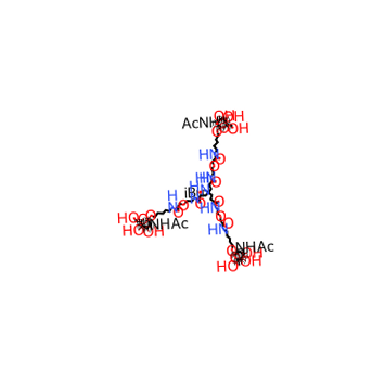 CCC(C)NC(CCC(=O)NCCOCC(=O)NCCCCCO[C@@H]1O[C@H](CO)[C@H](O)[C@H](O)[C@H]1NC(C)=O)(CCC(=O)NCCOCC(=O)NCCCCCO[C@@H]1O[C@H](CO)[C@H](O)[C@H](O)[C@H]1NC(C)=O)CCC(=O)NCCOCC(=O)NCCCCCO[C@@H]1O[C@H](CO)[C@H](O)[C@H](O)[C@H]1NC(C)=O